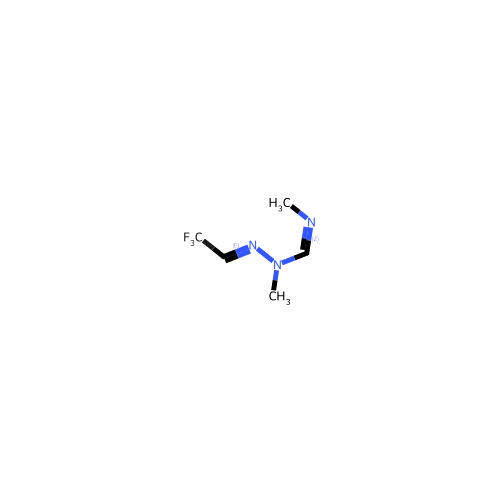 C/N=C\N(C)/N=C/C(F)(F)F